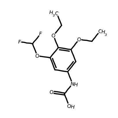 CCOc1cc(NC(=O)O)cc(OC(F)F)c1OCC